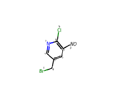 O=Nc1cc(CBr)cnc1Cl